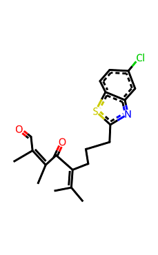 CC(C)=C(CCCc1nc2cc(Cl)ccc2s1)C(=O)/C(C)=C(/C)C=O